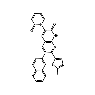 Cc1ncc(-c2nc3[nH]c(=O)c(-n4ccccc4=O)cc3cc2-c2ccc3ncccc3c2)s1